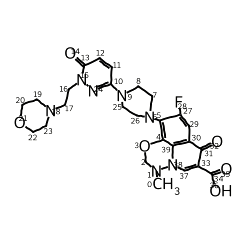 CN1COc2c(N3CCN(c4ccc(=O)n(CCN5CCOCC5)n4)CC3)c(F)cc3c(=O)c(C(=O)O)cn1c23